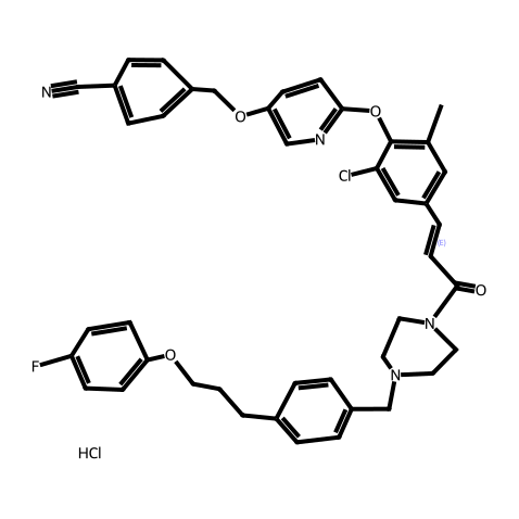 Cc1cc(/C=C/C(=O)N2CCN(Cc3ccc(CCCOc4ccc(F)cc4)cc3)CC2)cc(Cl)c1Oc1ccc(OCc2ccc(C#N)cc2)cn1.Cl